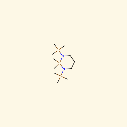 CS(C)(C)N1CCCN(S(C)(C)C)S1(C)C